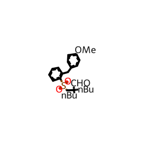 CCCCC(C=O)(CCCC)CS(=O)(=O)c1ccccc1Cc1ccc(OC)cc1